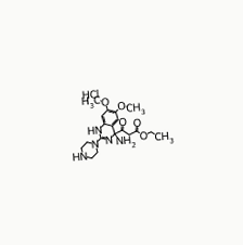 CCOC(=O)CC(=O)C1(N)N=C(N2CCNCC2)Nc2cc(OC)c(OC)cc21.Cl